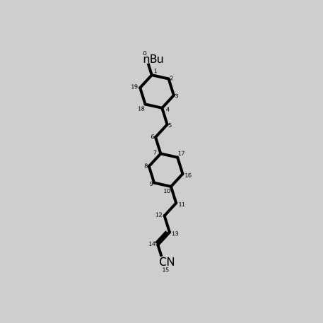 CCCCC1CCC(CCC2CCC(CCC=CC#N)CC2)CC1